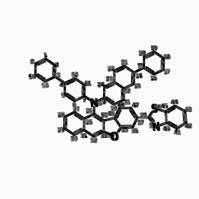 c1ccc(-c2ccc(N(c3ccc4cc(-c5ccccc5)ccc4c3)c3c4ccccc4cc4oc5cc(-c6nc7ccccc7s6)ccc5c34)cc2)cc1